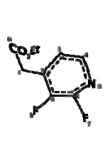 CCOC(=O)Cc1ccnc(F)c1F